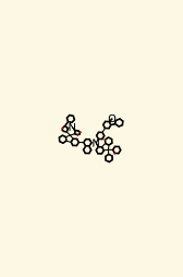 c1ccc(C2(c3ccccc3)c3ccccc3-c3c(N(c4ccc(-c5ccc6oc7ccccc7c6c5)cc4)c4ccc(-c5ccc6c(c5)C5(c7ccccc7-6)c6ccccc6-n6c7ccccc7c7cccc5c76)c5ccccc45)cccc32)cc1